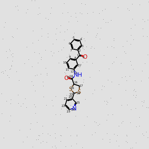 O=C(c1ccccc1)c1cccc(NC(=O)C2CSC(c3cccnc3)S2)c1